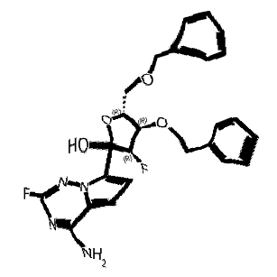 Nc1nc(F)nn2c(C3(O)O[C@H](COCc4ccccc4)[C@@H](OCc4ccccc4)[C@H]3F)ccc12